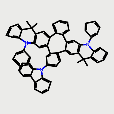 CC1(C)c2ccccc2N(c2ccccc2)c2cc3c(cc21)-c1ccc(-n2c4ccccc4c4ccccc42)cc1-c1cc2c(cc1-c1ccccc1-3)C(C)(C)c1ccccc1N2c1ccccc1